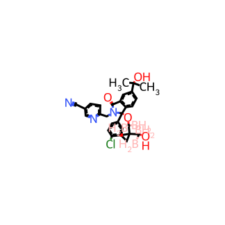 BC(B)(O)C1(C(B)(B)O[C@]2(c3ccc(Cl)cc3)c3ccc(C(C)(C)O)cc3C(=O)N2Cc2ccc(C#N)cn2)CC1